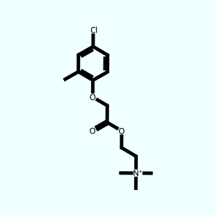 Cc1cc(Cl)ccc1OCC(=O)OCC[N+](C)(C)C